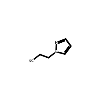 N#CCCn1cccn1